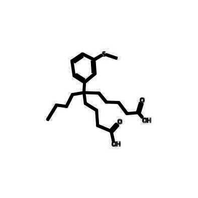 CCCCC(CCCCC(=O)O)(CCCC(=O)O)c1cccc(SC)c1